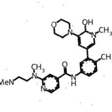 CNCCN(C)c1cc(C(=O)Nc2ccc(C)c(C3=CN(C)C(O)C(N4CCOCC4)=C3)c2)ccn1